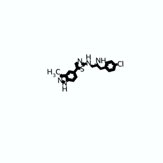 Cc1n[nH]c2ccc(-c3cnc(NC[C@H](N)Cc4ccc(Cl)cc4)s3)cc12